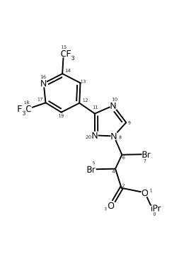 CC(C)OC(=O)C(Br)C(Br)n1cnc(-c2cc(C(F)(F)F)nc(C(F)(F)F)c2)n1